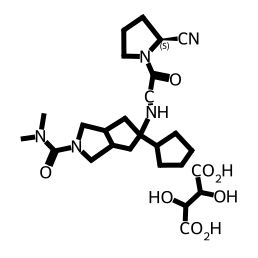 CN(C)C(=O)N1CC2CC(NCC(=O)N3CCC[C@H]3C#N)(C3CCCC3)CC2C1.O=C(O)C(O)C(O)C(=O)O